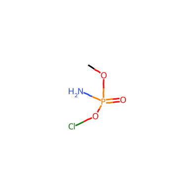 COP(N)(=O)OCl